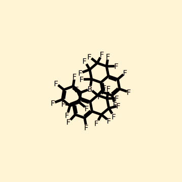 Fc1c(F)c(F)c(B(C2(F)c3c(F)c(F)c(F)c(F)c3C(F)(F)C(F)(F)C2(F)F)C2(F)c3c(F)c(F)c(F)c(F)c3C(F)(F)C(F)(F)C2(F)F)c(F)c1F